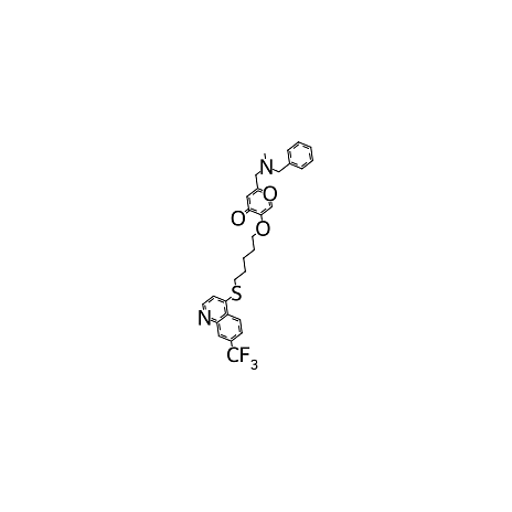 CN(Cc1ccccc1)Cc1cc(=O)c(OCCCCCSc2ccnc3cc(C(F)(F)F)ccc23)co1